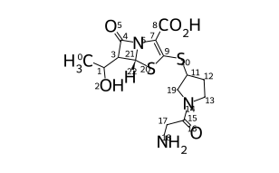 CC(O)C1C(=O)N2C(C(=O)O)=C(SC3CCN(C(=O)CN)C3)S[C@H]12